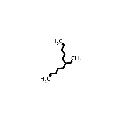 C=CCCCC(CC)CCCC=C